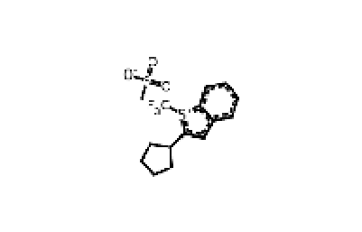 CS(=O)(=O)[O-].FC(F)(F)[s+]1c(C2CCCC2)cc2ccccc21